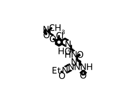 CCC(=O)N1CCN(c2nc(NC3COC3)cc(C(=O)NC[C@H](O)CN3CCc4c(ccc(OCc5ocnc5C)c4Cl)C3)n2)CC1